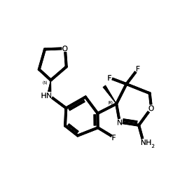 C[C@]1(c2cc(N[C@H]3CCOC3)ccc2F)N=C(N)OCC1(F)F